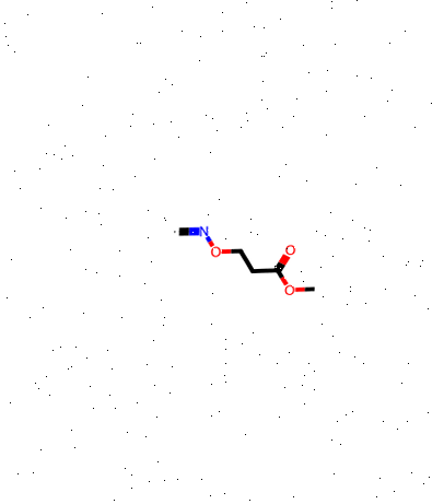 [CH]=NOCCC(=O)OC